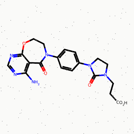 Nc1ncnc2c1C(=O)N(c1ccc(N3CCN(CCC(=O)O)C3=O)cc1)CCO2